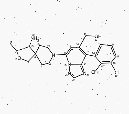 CC1OCC2(CCN(c3cc(CO)c(-c4cccc(Cl)c4Cl)c4ncnn34)CC2)C1N